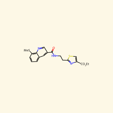 CCOC(=O)c1csc(CCNC(=O)c2cnc3c(SC)cccc3c2)n1